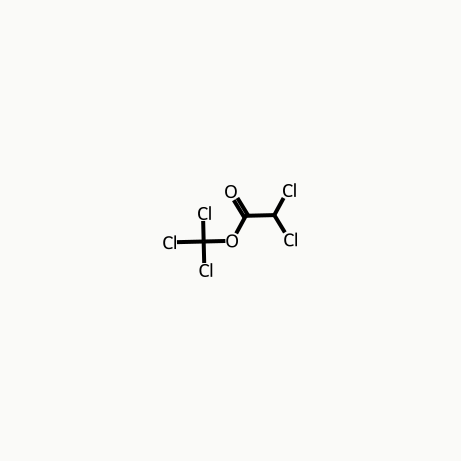 O=C(OC(Cl)(Cl)Cl)C(Cl)Cl